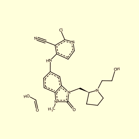 Cn1c(=O)n(C[C@@H]2CCCN2CCO)c2cc(Nc3ccnc(Cl)c3C#N)ccc21.O=CO